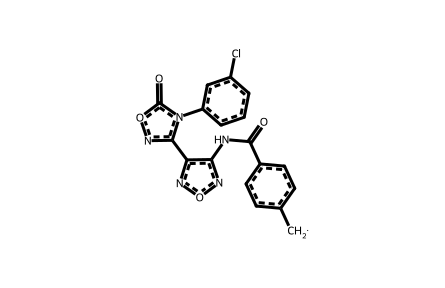 [CH2]c1ccc(C(=O)Nc2nonc2-c2noc(=O)n2-c2cccc(Cl)c2)cc1